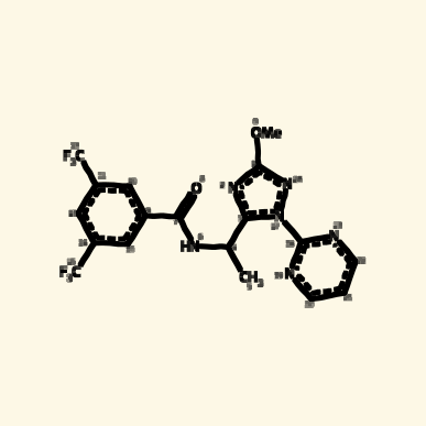 COc1nc(C(C)NC(=O)c2cc(C(F)(F)F)cc(C(F)(F)F)c2)n(-c2ncccn2)n1